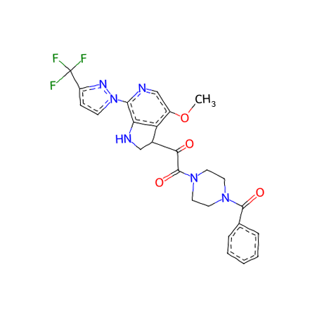 COc1cnc(-n2ccc(C(F)(F)F)n2)c2c1C(C(=O)C(=O)N1CCN(C(=O)c3ccccc3)CC1)CN2